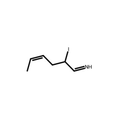 C/C=C\CC(I)C=N